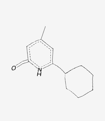 Cc1cc(C2CCCCC2)[nH]c(=O)c1